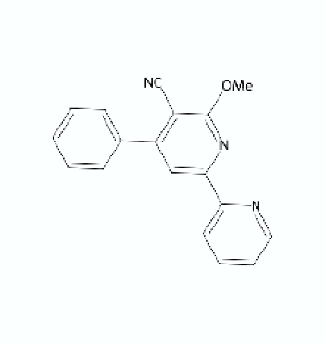 COc1nc(-c2ccccn2)cc(-c2ccccc2)c1C#N